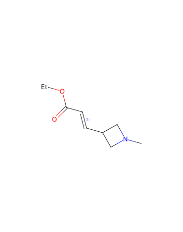 CCOC(=O)/C=C/C1CN(C)C1